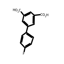 O=C(O)c1cc(C(=O)O)cc(-c2ccc(F)cc2)c1